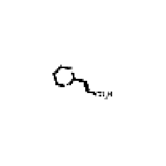 O=C(O)C=CC1SCCCS1